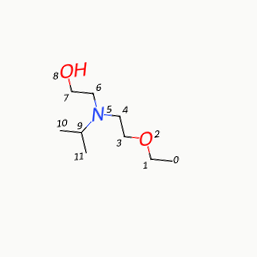 CCOCCN(CCO)C(C)C